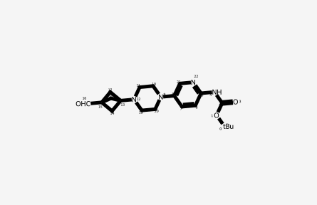 CC(C)(C)OC(=O)Nc1ccc(N2CCN(C34CC(C=O)(C3)C4)CC2)cn1